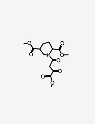 COC(=O)C(=O)CC(=O)N1CC(C(=O)OC)CCC1C(=O)OC